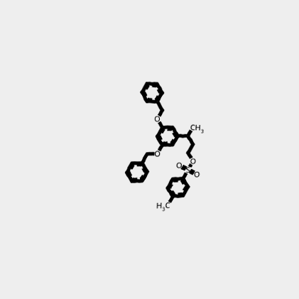 Cc1ccc(S(=O)(=O)OCCC(C)c2cc(OCc3ccccc3)cc(OCc3ccccc3)c2)cc1